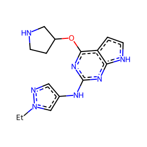 CCn1cc(Nc2nc(OC3CCNC3)c3cc[nH]c3n2)cn1